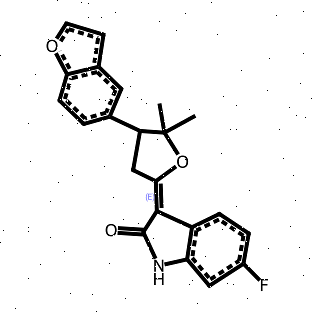 CC1(C)O/C(=C2/C(=O)Nc3cc(F)ccc32)CC1c1ccc2occc2c1